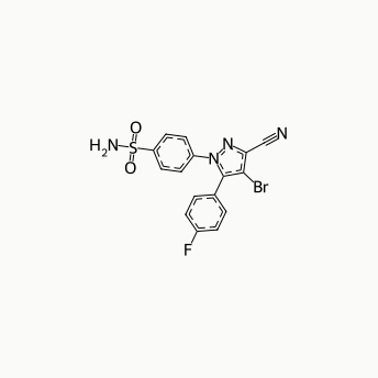 N#Cc1nn(-c2ccc(S(N)(=O)=O)cc2)c(-c2ccc(F)cc2)c1Br